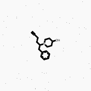 C#CCCC(Cc1ccccc1)N1CCC(O)CC1